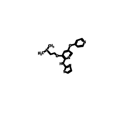 CN(C)CCOc1cc(Oc2ccncc2)cnc1Nc1nccs1